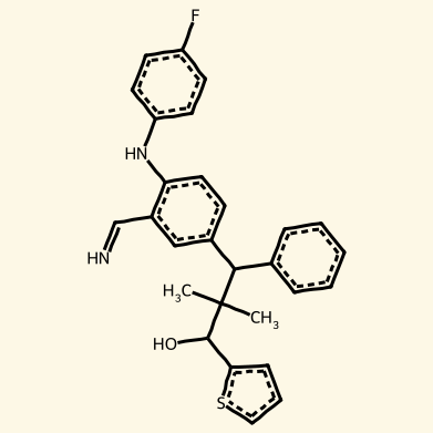 CC(C)(C(O)c1cccs1)C(c1ccccc1)c1ccc(Nc2ccc(F)cc2)c(C=N)c1